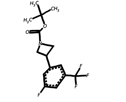 CC(C)(C)OC(=O)N1CC(c2cc(F)cc(C(F)(F)F)c2)C1